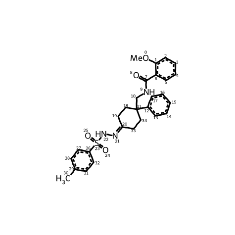 COc1ccccc1C(=O)NCC1(c2ccccc2)CCC(=NNS(=O)(=O)c2ccc(C)cc2)CC1